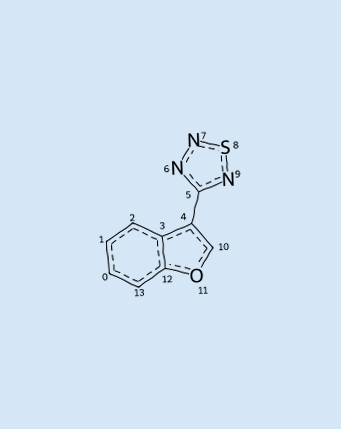 c1ccc2c(-c3nnsn3)coc2c1